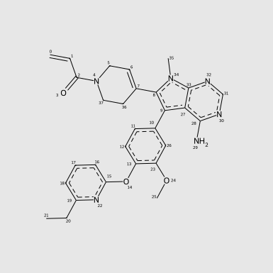 C=CC(=O)N1CC=C(c2c(-c3ccc(Oc4cccc(CC)n4)c(OC)c3)c3c(N)ncnc3n2C)CC1